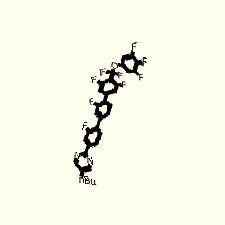 CCCCc1cnc(-c2ccc(-c3ccc(-c4cc(F)c(C(F)(F)Oc5cc(F)c(F)c(F)c5)c(F)c4)c(F)c3)c(F)c2)nc1